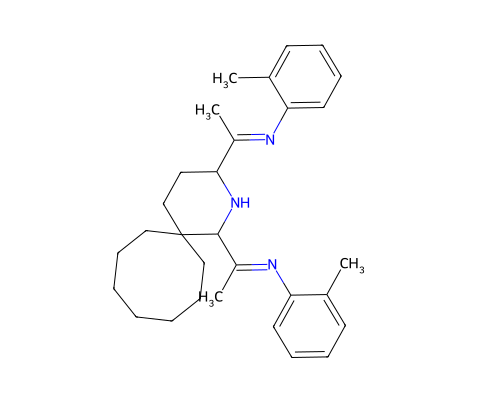 C/C(=N\c1ccccc1C)C1CCC2(CCCCCCC2)C(/C(C)=N/c2ccccc2C)N1